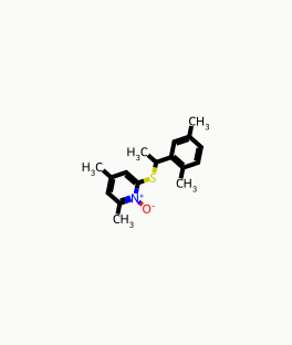 Cc1ccc(C)c(C(C)Sc2cc(C)cc(C)[n+]2[O-])c1